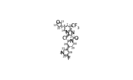 O=C(c1nc2c(C(F)(F)F)cc(-c3ccoc3)cn2c1Cl)N1CC=C(c2cncc(F)c2)CC1